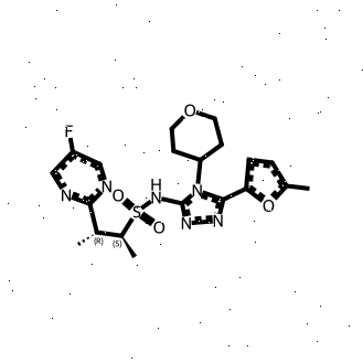 Cc1ccc(-c2nnc(NS(=O)(=O)[C@@H](C)[C@H](C)c3ncc(F)cn3)n2C2CCOCC2)o1